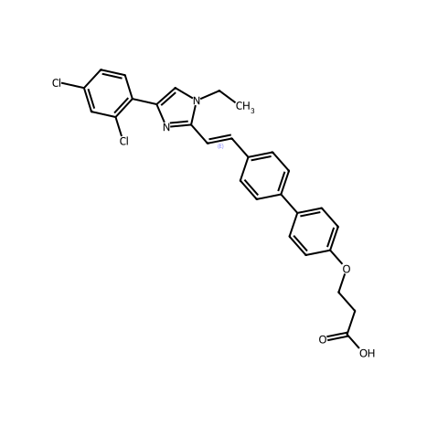 CCn1cc(-c2ccc(Cl)cc2Cl)nc1/C=C/c1ccc(-c2ccc(OCCC(=O)O)cc2)cc1